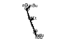 CCCCC(CCCC)CCOC(=O)CCCCCCCCCC(CCCCCCCCCC(=O)OCCC(CCCC)CCCC)CN(CC)CC